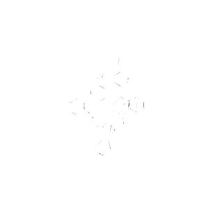 O=C1OC[C@H](c2ccccc2)N1C(=O)[C@H](CC[C@H](O)c1ccc(F)cc1)[C@H](Nc1ccccc1)c1ccc(Br)cc1OCc1ccccc1